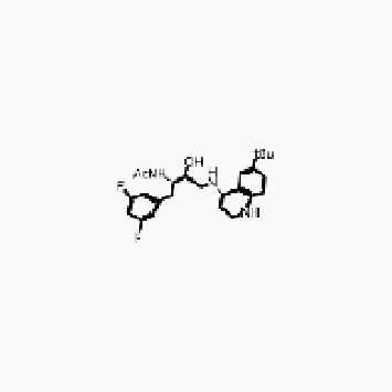 CC(=O)N[C@@H](Cc1cc(F)cc(F)c1)[C@@H](O)CN[C@H]1CCNc2ccc(C(C)(C)C)cc21